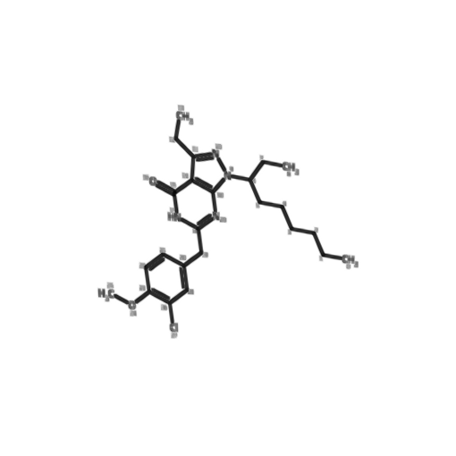 CCCCCCC(CC)n1nc(CC)c2c(=O)[nH]c(Cc3ccc(OC)c(Cl)c3)nc21